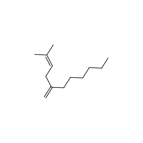 C=C(CC=C(C)C)CCCCCC